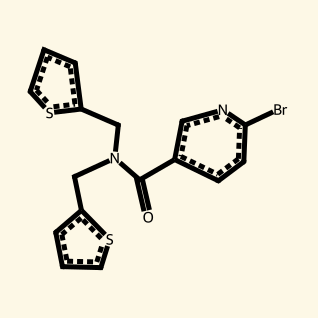 O=C(c1ccc(Br)nc1)N(Cc1cccs1)Cc1cccs1